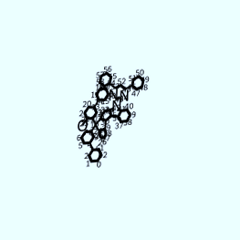 c1ccc(-c2ccc3c(c2)C2(c4cc(-c5ccccc5)ccc4O3)c3ccccc3-c3c2ccc2c3c3ccccc3n2-c2nc(-c3ccccc3)cc(-c3ccccc3)n2)cc1